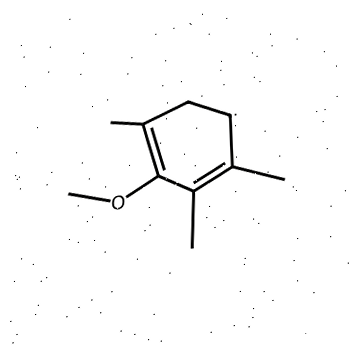 COC1=C(C)C[CH]C(C)=C1C